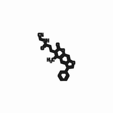 Cc1c(CCC(=O)NCC#N)c(=O)oc2cc3occ(-c4ccccc4)c3cc12